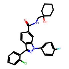 O=C(NCC1(O)CCCCC1)c1ccc2c(-c3ccccc3Cl)nn(-c3ccc(F)cc3)c2c1